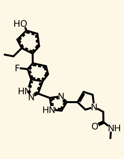 CCc1cc(O)ccc1-c1ccc2c(-c3nc(C4=CCN(CC(=O)NC)C4)c[nH]3)n[nH]c2c1F